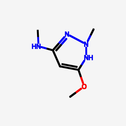 CNC1=NN(C)NC(OC)=C1